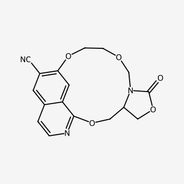 N#Cc1cc2ccnc3c2cc1OCCOCN1C(=O)OCC1CO3